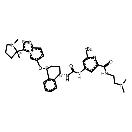 CN(C)CCNC(=O)c1cc(NC(=O)N[C@H]2CC[C@@H](Oc3ccc4nnc([C@]5(C)CCCN5C)n4c3)c3ccccc32)cc(C(C)(C)C)n1